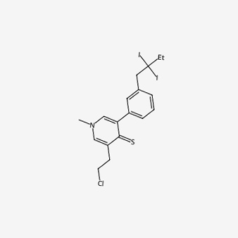 CCC(I)(I)Cc1cccc(-c2cn(C)cc(CCCl)c2=S)c1